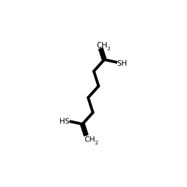 C=C(S)CCCCC(=C)S